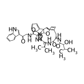 CC(C)C(O)C(=O)N[C@H]1Cc2ccc3c(c2)C2(c4ccccc4NC2O3)c2oc(nc2C(=O)NCC(=O)c2c[nH]c3ccccc23)[C@H](C(C)C)NC1=O